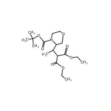 CCOC(=O)C(C(=O)OCC)C(C)C1COCCN1C(=O)OC(C)(C)C